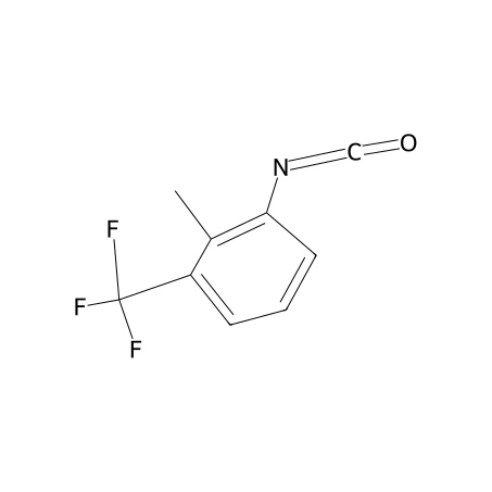 Cc1c(N=C=O)cccc1C(F)(F)F